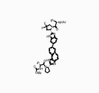 COC(=O)N[C@H](C(=O)N1CCC[C@H]1c1nc2ccc3cc(-c4ccc5nc([C@@H]6CC(F)(F)CN6C(=O)[C@@H](NC(C)=O)C(C)C)[nH]c5c4)ccc3c2[nH]1)C(C)C